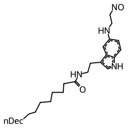 CCCCCCCCCCCCCCCCCC(=O)NCCc1c[nH]c2ccc(NCCN=O)cc12